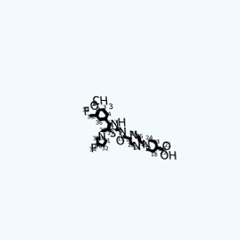 COc1ccc(-c2nc(NC(=O)c3cnc(N4CCC(C(=O)O)CC4)cn3)sc2CN2CC[C@@H](F)C2)cc1CF